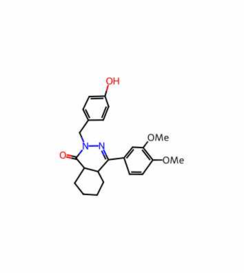 COc1ccc(C2=NN(Cc3ccc(O)cc3)C(=O)C3CCCCC23)cc1OC